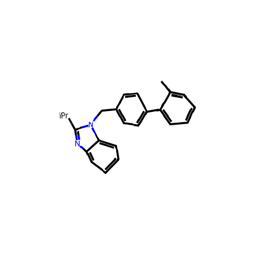 Cc1ccccc1-c1ccc(Cn2c(C(C)C)nc3ccccc32)cc1